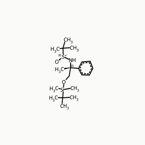 CC(C)(C)[S@+]([O-])N[C@@](C)(CO[Si](C)(C)C(C)(C)C)c1ccccc1